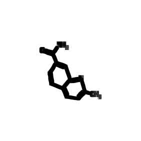 Cc1ccc2ccc(C(N)=O)cc2n1